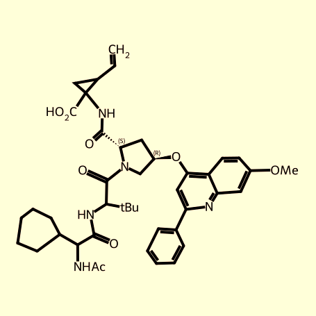 C=CC1CC1(NC(=O)[C@@H]1C[C@@H](Oc2cc(-c3ccccc3)nc3cc(OC)ccc23)CN1C(=O)C(NC(=O)C(NC(C)=O)C1CCCCC1)C(C)(C)C)C(=O)O